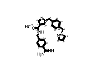 Cl.N=C(N)c1ccc(CNC(=O)c2cnn(Cc3ccc(Cn4cccn4)cc3)c2)cc1